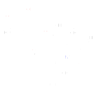 CCC1(C)CC2(OCC(C)(C(=O)O)CO2)C(C)C(C)(CC)N1[O]